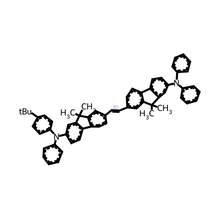 CC(C)(C)c1ccc(N(c2ccccc2)c2ccc3c(c2)C(C)(C)c2cc(/C=C/c4ccc5c(c4)C(C)(C)c4cc(N(c6ccccc6)c6ccccc6)ccc4-5)ccc2-3)cc1